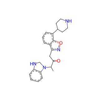 CC(C(=O)Cc1noc2c(C3CCNCC3)cccc12)N1CNc2ccccc21